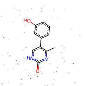 Cc1nc(=O)[nH]cc1-c1cccc(O)c1